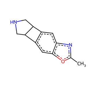 Cc1nc2cc3c(cc2o1)C1CNCC31